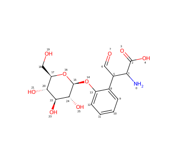 NC(C(=O)O)C(C=O)c1ccccc1O[C@@H]1O[C@H](CO)[C@@H](O)[C@H](O)[C@H]1O